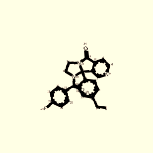 CCc1ccc(C23c4cnccc4C(=O)N2CCN3C(=O)c2ccc(F)cc2)cc1